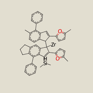 Cc1ccc(C2=Cc3c(ccc(C)c3-c3ccccc3)C2[C]2([Zr])C(c3ccc(C)o3)=C([SiH](C)C)c3c2cc2c(c3-c3ccccc3)CCC2)o1